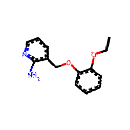 CCOc1ccccc1OCc1cccnc1N